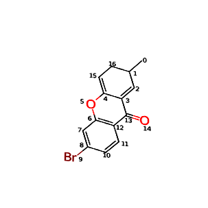 CC1C=c2c(oc3cc(Br)ccc3c2=O)=CC1